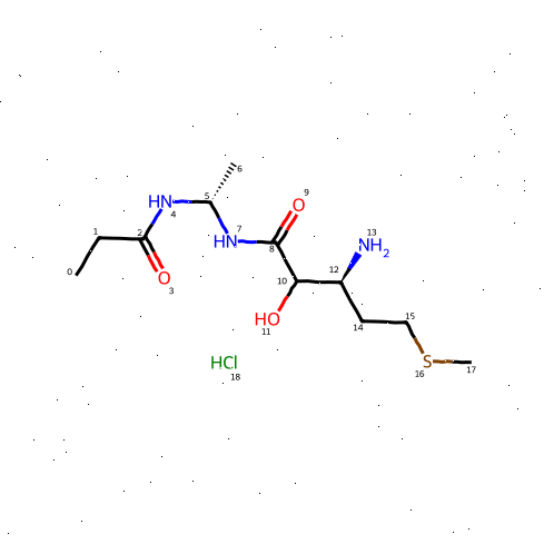 CCC(=O)N[C@H](C)NC(=O)C(O)[C@@H](N)CCSC.Cl